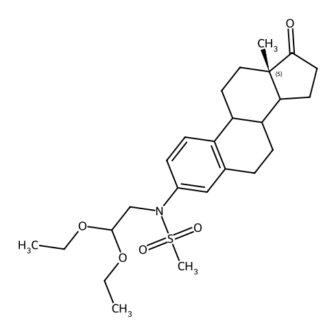 CCOC(CN(c1ccc2c(c1)CCC1C2CC[C@]2(C)C(=O)CCC12)S(C)(=O)=O)OCC